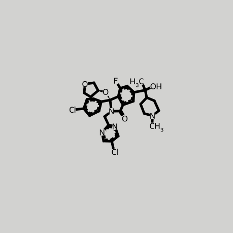 CN1CCC(C(C)(O)c2cc(F)c3c(c2)C(=O)N(Cc2ncc(Cl)cn2)[C@@]3(O[C@H]2CCOC2)c2ccc(Cl)cc2)CC1